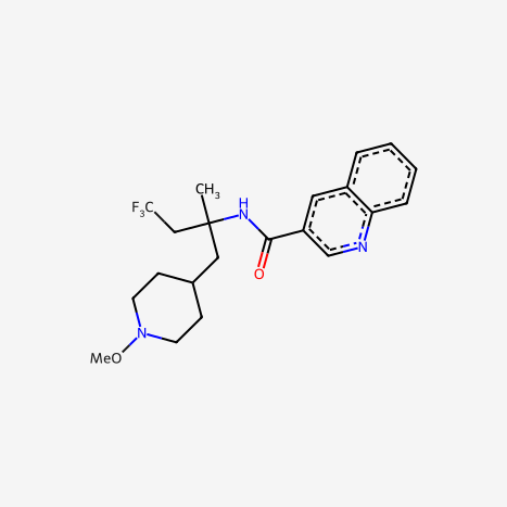 CON1CCC(CC(C)(CC(F)(F)F)NC(=O)c2cnc3ccccc3c2)CC1